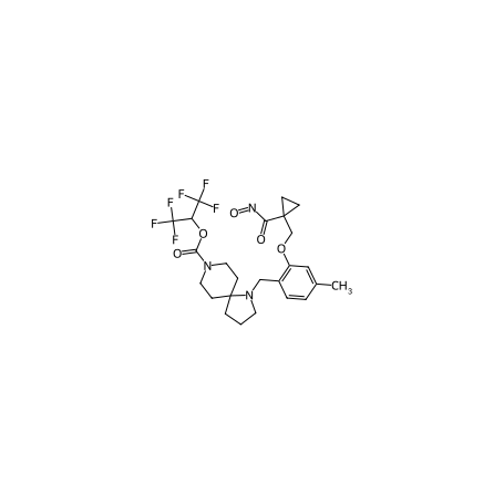 Cc1ccc(CN2CCCC23CCN(C(=O)OC(C(F)(F)F)C(F)(F)F)CC3)c(OCC2(C(=O)N=O)CC2)c1